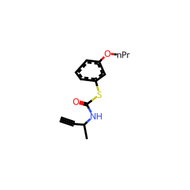 C#CC(C)NC(=O)Sc1cccc(OCCC)c1